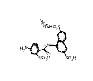 Nc1ccc(C(=O)Nc2cc(S(=O)(=O)O)cc3ccc(S(=O)(=O)O)cc23)c(S(=O)(=O)O)c1.[Na].[Na].[Na]